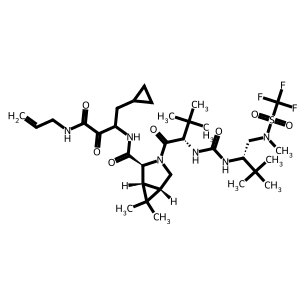 C=CCNC(=O)C(=O)C(CC1CC1)NC(=O)[C@@H]1[C@@H]2[C@H](CN1C(=O)[C@@H](NC(=O)N[C@H](CN(C)S(=O)(=O)C(F)(F)F)C(C)(C)C)C(C)(C)C)C2(C)C